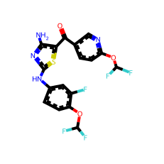 Nc1nc(Nc2ccc(OC(F)F)c(F)c2)sc1C(=O)c1ccc(OC(F)F)nc1